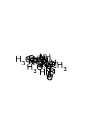 COc1cc(C(=O)NC2COC2)ccc1Nc1nc(OC(C)C)c2c(-c3ccc4nc(C)oc4c3)c[nH]c2n1